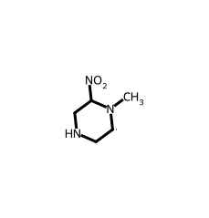 CN1[CH]CNCC1[N+](=O)[O-]